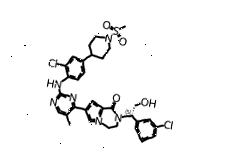 Cc1cnc(Nc2ccc(C3CCN(S(C)(=O)=O)CC3)cc2Cl)nc1-c1cc2n(c1)CCN([C@H](CO)c1cccc(Cl)c1)C2=O